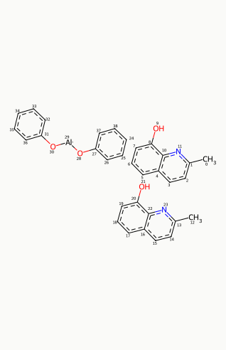 Cc1ccc2cccc(O)c2n1.Cc1ccc2cccc(O)c2n1.c1ccc([O][Al][O]c2ccccc2)cc1